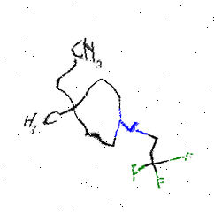 CCC1(C)CCN(CC(F)(F)F)CC1